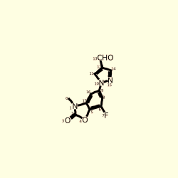 Cn1c(=O)oc2c(F)cc(-n3cc(C=O)cn3)cc21